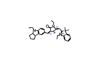 CCN1c2ccc(/C=c3/s/c(=C\C4=[N+](CC)c5ccccc5C4(C)C)n(CC)c3=O)cc2C2CCCC21